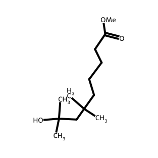 COC(=O)CCCCC(C)(C)CC(C)(C)O